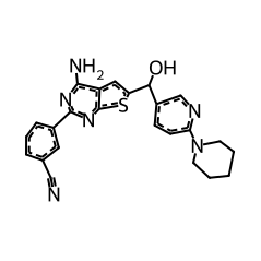 N#Cc1cccc(-c2nc(N)c3cc(C(O)c4ccc(N5CCCCC5)nc4)sc3n2)c1